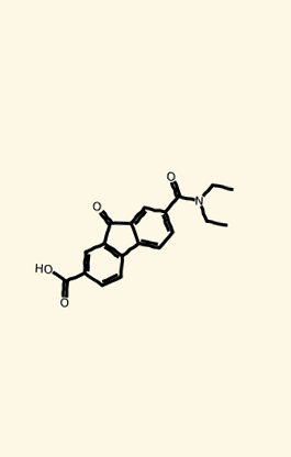 CCN(CC)C(=O)c1ccc2c(c1)C(=O)c1cc(C(=O)O)ccc1-2